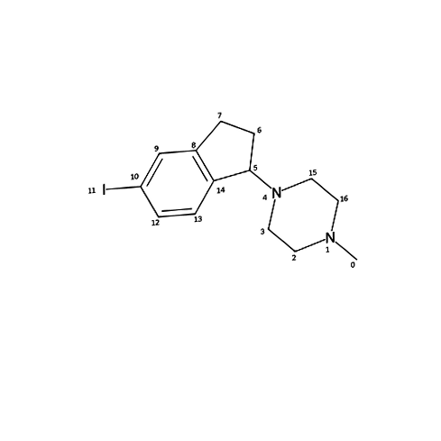 CN1CCN(C2CCc3cc(I)ccc32)CC1